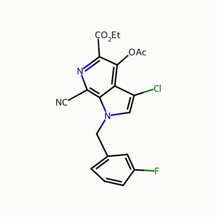 CCOC(=O)c1nc(C#N)c2c(c(Cl)cn2Cc2cccc(F)c2)c1OC(C)=O